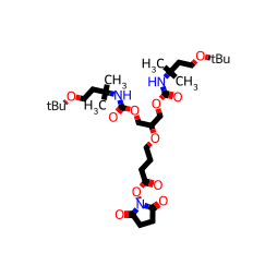 CC(C)(CCOC(C)(C)C)NC(=O)OCC(COC(=O)NC(C)(C)CCOC(C)(C)C)OCCCC(=O)ON1C(=O)CCC1=O